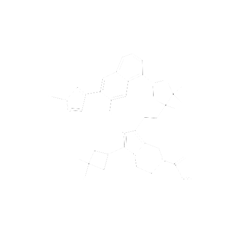 CNC(=O)N1CCn2c(C3CC(F)(F)C3)nc(CCC3(C)OB(c4cccc5cc(-c6cnn(C)c6)c(C(F)(F)F)cc45)OC3(C)C)c2C1